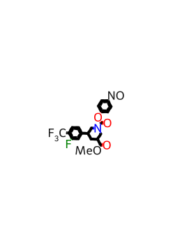 COC(=O)C1CC(c2ccc(C(F)(F)F)c(F)c2)CN(C(=O)Oc2ccc(N=O)cc2)C1